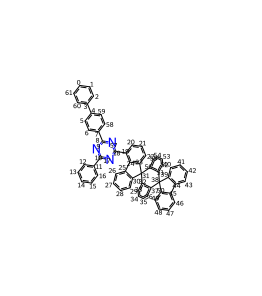 c1ccc(-c2ccc(-c3nc(-c4ccccc4)nc(-c4cccc5c4-c4ccccc4C54c5ccccc5C5(c6ccccc6-c6ccccc65)c5ccccc54)n3)cc2)cc1